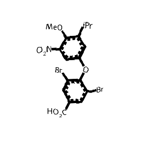 COc1c(C(C)C)cc(Oc2c(Br)cc(C(=O)O)cc2Br)cc1[N+](=O)[O-]